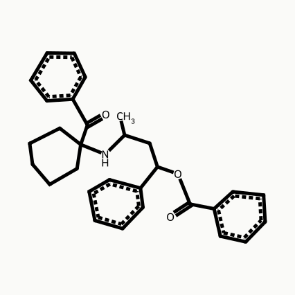 CC(CC(OC(=O)c1ccccc1)c1ccccc1)NC1(C(=O)c2ccccc2)CCCCC1